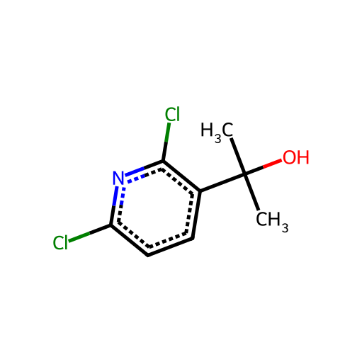 CC(C)(O)c1ccc(Cl)nc1Cl